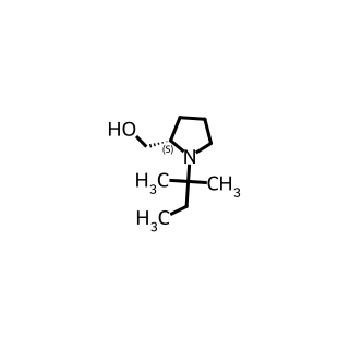 CCC(C)(C)N1CCC[C@H]1CO